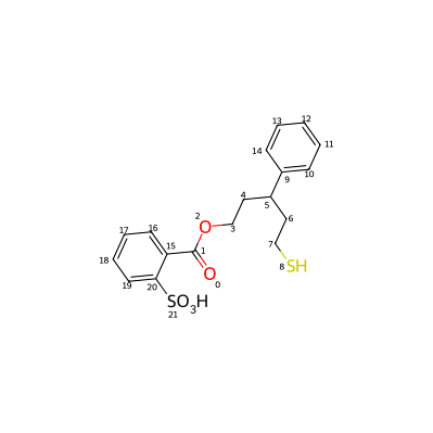 O=C(OCCC(CCS)c1ccccc1)c1ccccc1S(=O)(=O)O